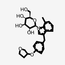 Cc1cccc2c(Cc3ccc(OC4CCOC4)cc3)cn([C@@H]3O[C@H](CO)[C@@H](O)[C@H](O)[C@H]3O)c12